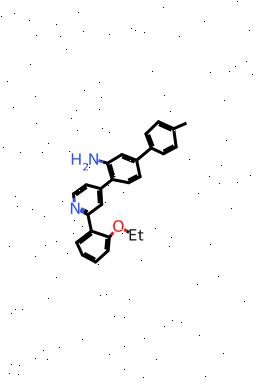 CCOc1ccccc1-c1cc(-c2ccc(-c3ccc(C)cc3)cc2N)ccn1